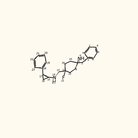 NC1(Cc2ccccc2)CCC(F)(CNC2CC2c2ccccc2)CC1